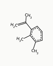 C=C(C)c1cccc(C)c1C